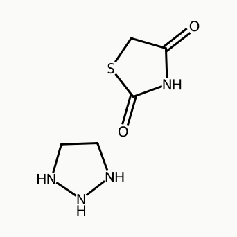 C1CNNN1.O=C1CSC(=O)N1